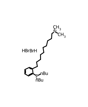 Br.Br.CCCCP(CCCC)c1ccccc1CCCCCCCCCCN(C)C